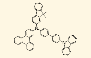 CC1(C)c2ccccc2-c2ccc(N(c3ccc(-c4ccc(-n5c6ccccc6c6ccccc65)cc4)cc3)c3ccc4c5ccccc5c5ccccc5c4c3)cc21